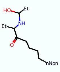 CCCCCCCCCCCCCC(=O)C(CC)NC(O)CC